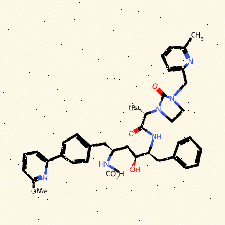 COc1cccc(-c2ccc(C[C@@H](C[C@H](O)[C@H](Cc3ccccc3)NC(=O)[C@@H](N3CCN(Cc4cccc(C)n4)C3=O)C(C)(C)C)NC(=O)O)cc2)n1